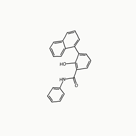 O=C(Nc1ccccc1)c1cccc(-c2cccc3ccccc23)c1O